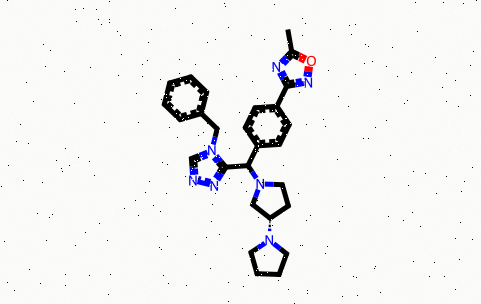 Cc1nc(-c2ccc(C(c3nncn3Cc3ccccc3)N3CC[C@H](N4CCCC4)C3)cc2)no1